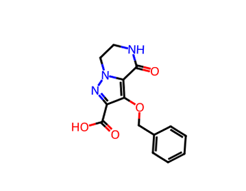 O=C(O)c1nn2c(c1OCc1ccccc1)C(=O)NCC2